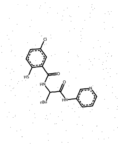 CCCCC(NC(=O)c1cc(Cl)ccc1S)C(=O)Nc1cccnc1